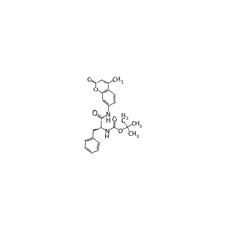 Cc1cc(=O)oc2cc(NC(=O)[C@H](Cc3ccccc3)NC(=O)OC(C)(C)C)ccc12